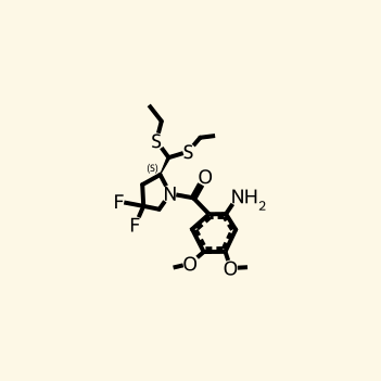 CCSC(SCC)[C@@H]1CC(F)(F)CN1C(=O)c1cc(OC)c(OC)cc1N